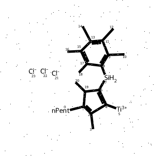 CCCCCC1=C(C)[C]([Ti+3])=C([SiH2]c2c(C)c(C)c(C)c(C)c2C)C1C.[Cl-].[Cl-].[Cl-]